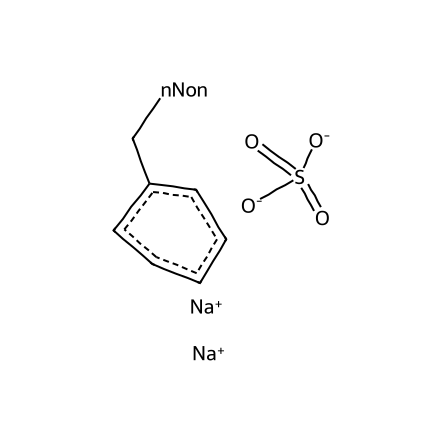 CCCCCCCCCCc1ccccc1.O=S(=O)([O-])[O-].[Na+].[Na+]